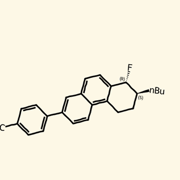 CCCC[C@H]1CCc2c(ccc3cc(-c4ccc(C#N)cc4)ccc23)[C@@H]1F